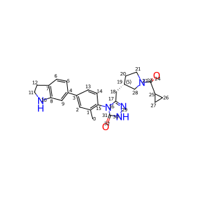 Cc1cc(-c2ccc3c(c2)NCC3)ccc1-n1c(C[C@@H]2CCN(C(=O)C3CC3)C2)n[nH]c1=O